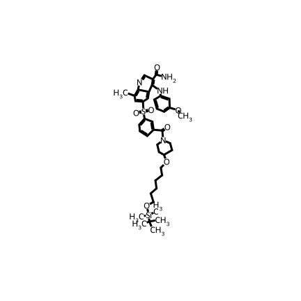 COc1cccc(Nc2c(C(N)=O)cnc3c(C)cc(S(=O)(=O)c4cccc(C(=O)N5CCC(OCCCCCCO[Si](C)(C)C(C)(C)C)CC5)c4)cc23)c1